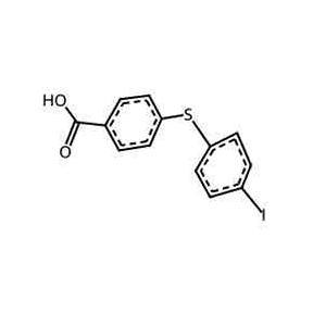 O=C(O)c1ccc(Sc2ccc(I)cc2)cc1